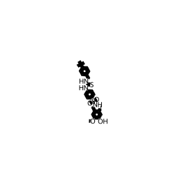 COc1cc(CNS(=O)(=O)c2ccc(NC(=S)NCc3ccc(C(C)(C)C)cc3)cc2)c(I)cc1O